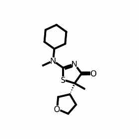 CN(C1=NC(=O)C(C)([C@@H]2CCOC2)S1)C1CCCCC1